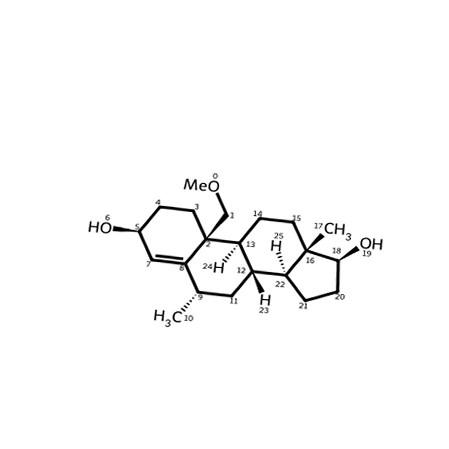 COC[C@]12CC[C@H](O)C=C1[C@@H](C)C[C@@H]1[C@@H]2CC[C@]2(C)[C@@H](O)CC[C@@H]12